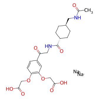 CC(=O)NC[C@H]1CC[C@H](C(=O)NCC(=O)c2ccc(OCC(=O)O)c(OCC(=O)O)c2)CC1.[Na].[Na]